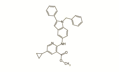 COC(=O)c1cc(C2CC2)cnc1Nc1ccc2c(c1)cc(-c1ccccc1)n2Cc1ccccc1